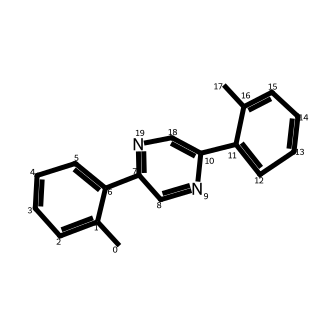 Cc1ccccc1-c1cnc(-c2ccccc2C)cn1